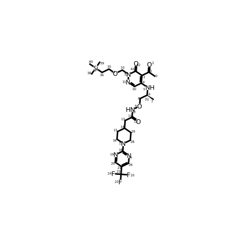 CC(=O)c1c(N[C@@H](C)CONC(=O)CC2CCN(c3ncc(C(F)(F)F)cn3)CC2)cnn(COCC[Si](C)(C)C)c1=O